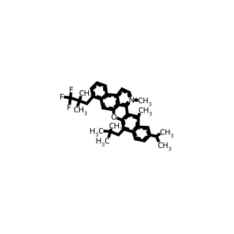 Cc1c2c(c(CC(C)(C)C)c3ccc(C(C)C)cc13)Oc1cc3c(CC(C)(C)C(F)(F)F)cccc3c3cc[n+](C)c-2c13